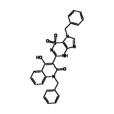 O=c1c(C2=NS(=O)(=O)c3c(ncn3Cc3ccccc3)N2)c(O)c2ccccc2n1Cc1ccccc1